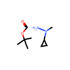 CC(C)(C)OC=O.CN(N)C1CC1